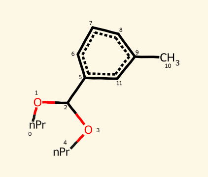 CCCOC(OCCC)c1cccc(C)c1